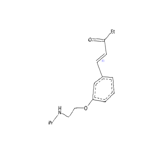 CCC(=O)/C=C/c1cccc(OCCNC(C)C)c1